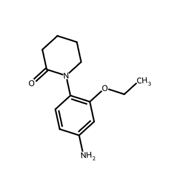 CCOc1cc(N)ccc1N1CCCCC1=O